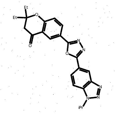 CCC1(CC)CC(=O)c2cc(-c3nnc(-c4ccc5c(c4)nnn5C(C)C)o3)ccc2O1